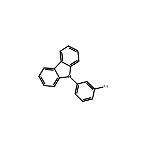 Sc1cccc(-n2c3ccccc3c3ccccc32)c1